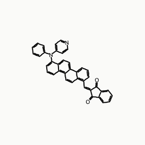 O=C1C(=Cc2cccc3c2ccc2c4cccc(N(c5ccccc5)c5ccncc5)c4ccc32)C(=O)c2ccccc21